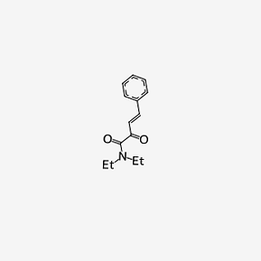 CCN(CC)C(=O)C(=O)/C=C/c1ccccc1